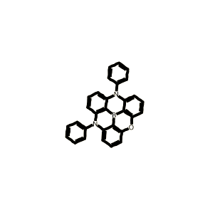 c1ccc(N2c3cccc4c3B3c5c(cccc5N(c5ccccc5)c5cccc2c53)O4)cc1